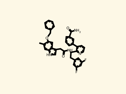 Cc1cc2[nH]cc(CC(=O)NC(Cc3cc(F)cc(F)c3)c3ncccc3-c3cccc(C(N)=O)c3)c2cc1OCc1ccccc1